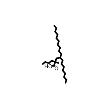 CCCCCCCCCCC(CCCCCCCC)CC(C)(CCCC)C(=O)O